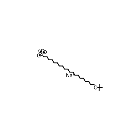 CC(C)(C)OCCCCCCCCCCCCCCCCCCCCS(=O)(=O)[O-].[Na+]